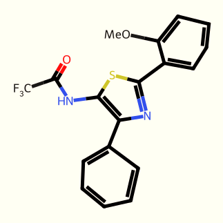 COc1ccccc1-c1nc(-c2ccccc2)c(NC(=O)C(F)(F)F)s1